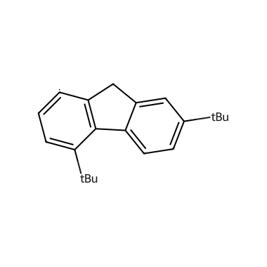 CC(C)(C)c1ccc2c(c1)Cc1[c]ccc(C(C)(C)C)c1-2